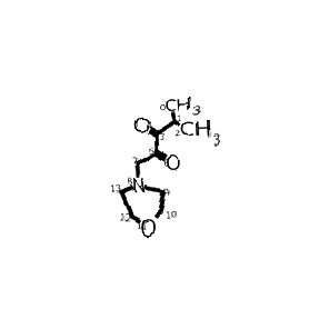 CC(C)C(=O)C(=O)CN1CCOCC1